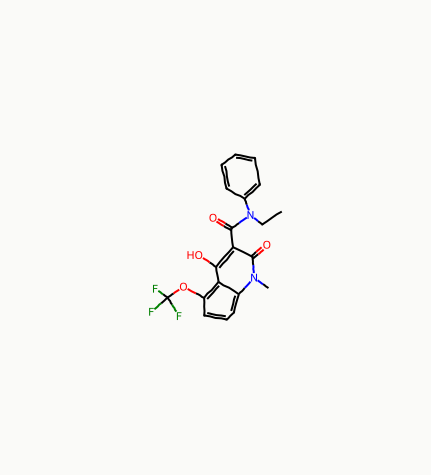 CCN(C(=O)c1c(O)c2c(OC(F)(F)F)cccc2n(C)c1=O)c1ccccc1